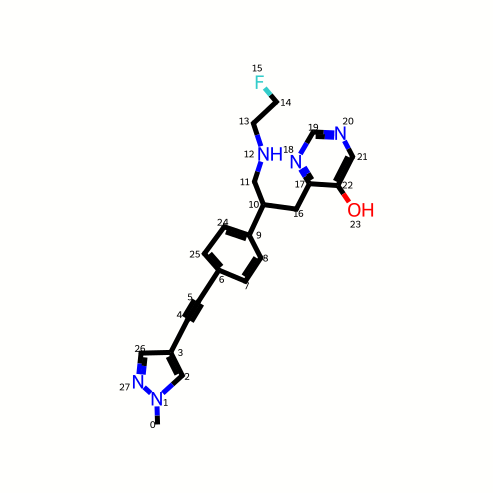 Cn1cc(C#Cc2ccc(C(CNCCF)Cc3ncncc3O)cc2)cn1